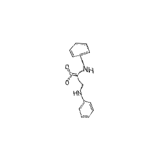 O=S(=O)=C(CNc1ccccc1)Nc1ccccc1